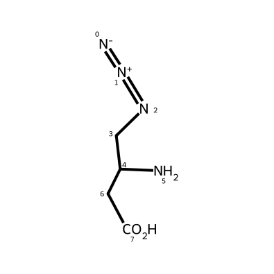 [N-]=[N+]=NCC(N)CC(=O)O